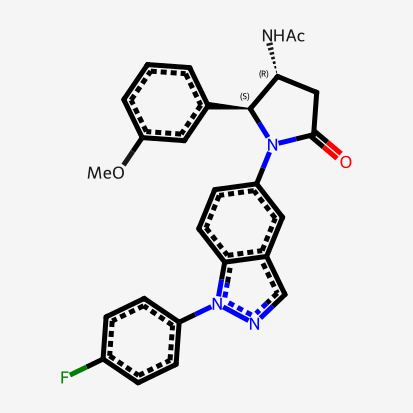 COc1cccc([C@H]2[C@H](NC(C)=O)CC(=O)N2c2ccc3c(cnn3-c3ccc(F)cc3)c2)c1